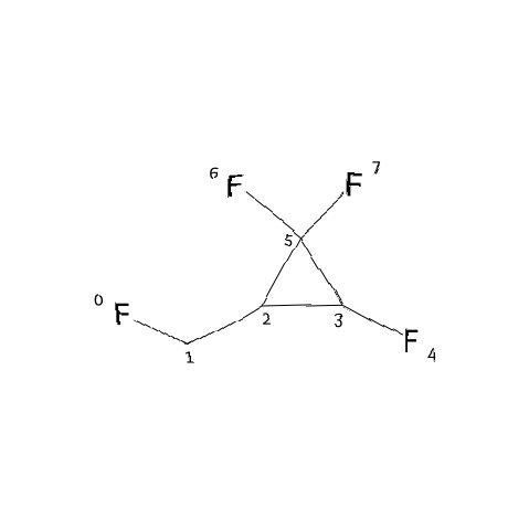 FCC1C(F)C1(F)F